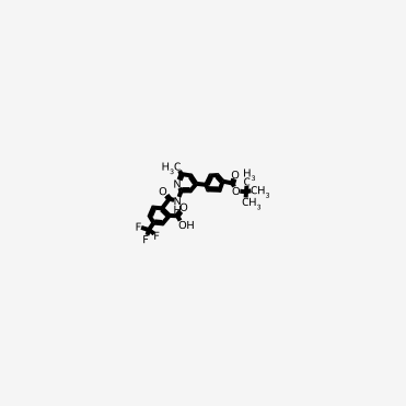 Cc1cc(-c2ccc(C(=O)OC(C)(C)C)cc2)cc(NC(=O)c2ccc(C(F)(F)F)cc2C(=O)O)n1